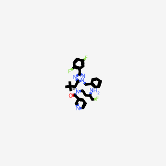 CC(C)(C)[C@H](c1nc(-c2cc(F)ccc2F)nn1Cc1ccccc1)N(CCC(N)CF)C(=O)c1cccnc1